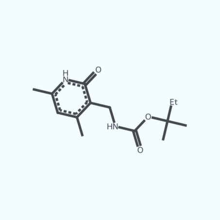 CCC(C)(C)OC(=O)NCc1c(C)cc(C)[nH]c1=O